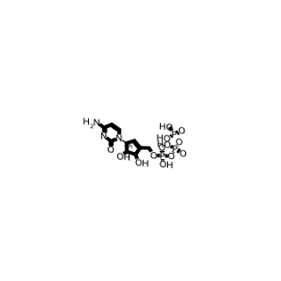 Nc1ccn([C@@H]2C=C(COP(=O)(O)OP(=O)(O)OP(=O)(O)O)C(O)C2O)c(=O)n1